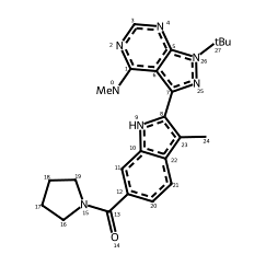 CNc1ncnc2c1c(-c1[nH]c3cc(C(=O)N4CCCC4)ccc3c1C)nn2C(C)(C)C